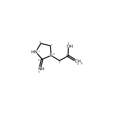 C=C(O)CN1CCNC1=N